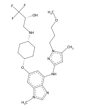 COCCCn1nc(Nc2cc(O[C@H]3CC[C@@H](NC[C@@H](O)C(F)(F)F)CC3)cc3c2ncn3C)cc1C